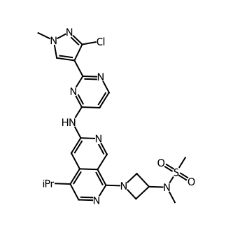 CC(C)c1cnc(N2CC(N(C)S(C)(=O)=O)C2)c2cnc(Nc3ccnc(-c4cn(C)nc4Cl)n3)cc12